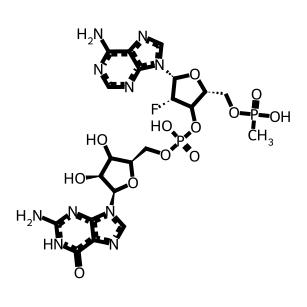 CP(=O)(O)OC[C@H]1O[C@@H](n2cnc3c(N)ncnc32)[C@@H](F)C1OP(=O)(O)OC[C@H]1O[C@@H](n2cnc3c(=O)[nH]c(N)nc32)[C@@H](O)C1O